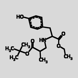 CCOC(=O)C(Cc1ccc(O)cc1)NCC(C)C(=O)OC(C)(C)C